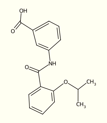 CC(C)Oc1ccccc1C(=O)Nc1cccc(C(=O)O)c1